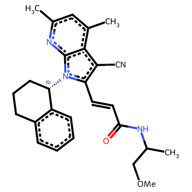 COCC(C)NC(=O)C=Cc1c(C#N)c2c(C)cc(C)nc2n1[C@H]1CCCc2ccccc21